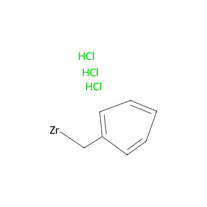 Cl.Cl.Cl.[Zr][CH2]c1ccccc1